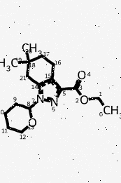 CCOC(=O)c1nn(C2CCCCO2)c2c1CCC(C)(C)C2